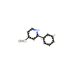 O=Cc1ccnc(-c2ccccc2)c1